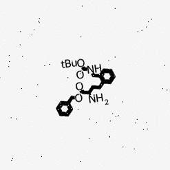 CC(C)(C)OC(=O)NCc1ccccc1CC[C@@H](N)C(=O)OCc1ccccc1